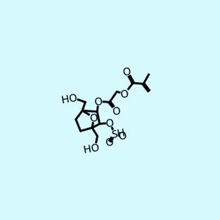 C=C(C)C(=O)OCC(=O)OC1C(O[SH](=O)=O)C2(CO)CCC1(CO)O2